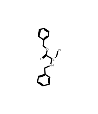 CC(C)C[C@H](NCc1ccccc1)C(=O)OCc1ccccc1